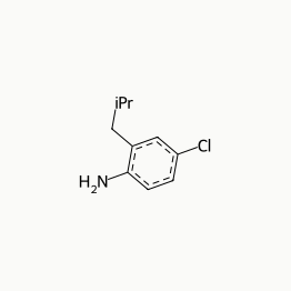 CC(C)Cc1cc(Cl)ccc1N